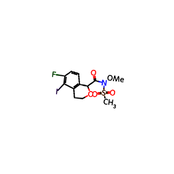 CON(C(=O)C1OCCc2c1ccc(F)c2I)S(C)(=O)=O